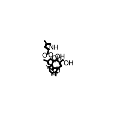 CC1=C[C@]23C(=O)[C@@H](C=C(CO)[C@@H](O)[C@]2(O)[C@H]1OC(=O)c1cc(C)c[nH]1)C(C)(C)[C@@H](C)C[C@H]3C